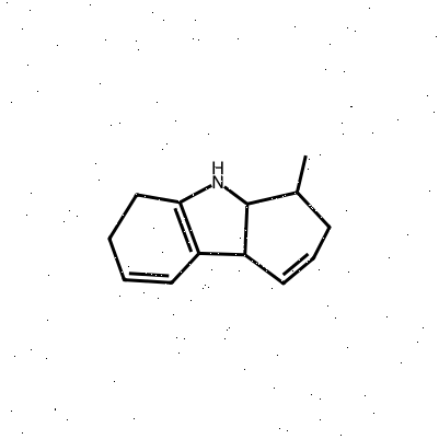 CC1CC=CC2C3=C(CCC=C3)NC12